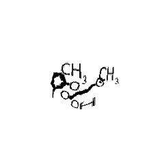 COC/C=C(\Oc1cc(I)ccc1C)C(=O)O